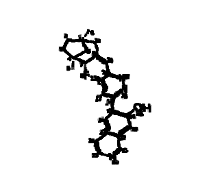 C[C@@]12CC[C@@](C)(C1)[C@@H](F)/C(=C\c1ncc(-c3cc4ccncc4cc3O)nn1)C2